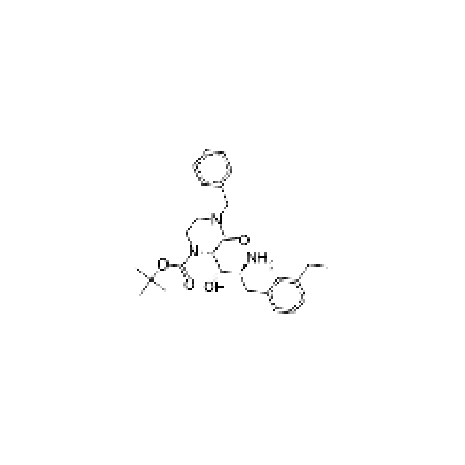 CCc1cccc(C[C@H](N)[C@H](O)[C@H]2C(=O)N(Cc3ccccc3)CCN2C(=O)OC(C)(C)C)c1